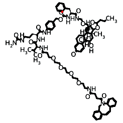 CCCC1O[C@@H]2C[C@H]3[C@@H]4CCC5=CC(=O)C=C[C@]5(C)[C@H]4[C@@H](O)C[C@]3(C)[C@]2(C(=O)COCNC(=O)[C@H](Cc2ccccc2)NC(=O)OCc2ccc(NC(=O)[C@H](CCCNC(N)=O)NC(=O)[C@@H](NC(=O)CCOCCOCCOCCOCCNC(=O)CCC(=O)N3Cc4ccccc4/C=C\c4ccccc43)C(C)C)cc2)O1